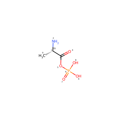 C[C@H](N)C(=O)OP(=O)(O)O